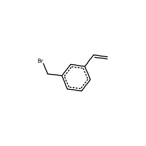 C=Cc1cccc(CBr)c1